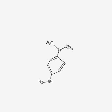 CN(C)c1ccc(BO)cc1